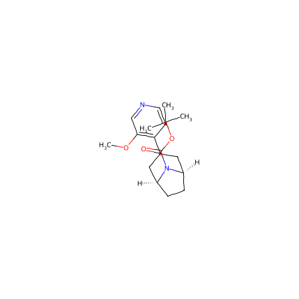 COc1cnccc1C1C[C@H]2CC[C@@H](C1)N2C(=O)OC(C)(C)C